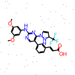 COc1cc(Nc2ncc(-c3cccc(/C=C/C(=O)O)c3)c(N3C=CC(C(F)(F)F)N3)n2)cc(OC)c1